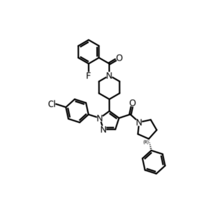 O=C(c1ccccc1F)N1CCC(c2c(C(=O)N3CC[C@H](c4ccccc4)C3)cnn2-c2ccc(Cl)cc2)CC1